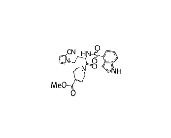 COC(=O)C1CCN(C(=O)C(CCn2cccc2C#N)NS(=O)(=O)c2cccc3[nH]ccc23)CC1